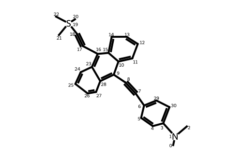 CN(C)c1ccc(C#Cc2c3ccccc3c(C#CS(C)(C)C)c3ccccc23)cc1